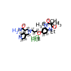 CCN1C(=O)C(C)(C)C(=O)N(C)c2cc(OCCCN(CCC(N)=O)Cc3ccncc3)ccc21.Cl.Cl